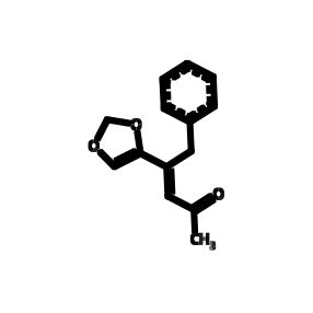 CC(=O)/C=C(\Cc1ccccc1)C1=COCO1